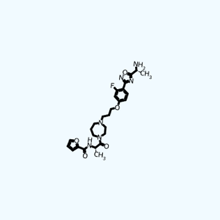 C[C@H](NC(=O)c1ccco1)C(=O)N1CCCN(CCCOc2ccc(-c3noc([C@@H](C)N)n3)c(F)c2)CC1